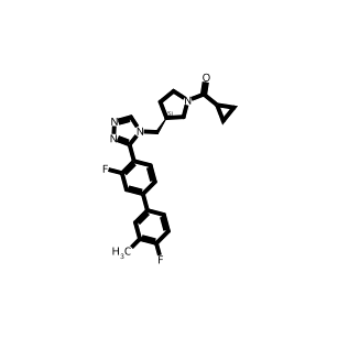 Cc1cc(-c2ccc(-c3nncn3C[C@H]3CCN(C(=O)C4CC4)C3)c(F)c2)ccc1F